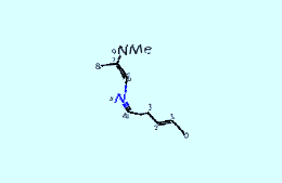 CC=CC/C=N\C=C(/C)NC